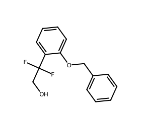 OCC(F)(F)c1ccccc1OCc1ccccc1